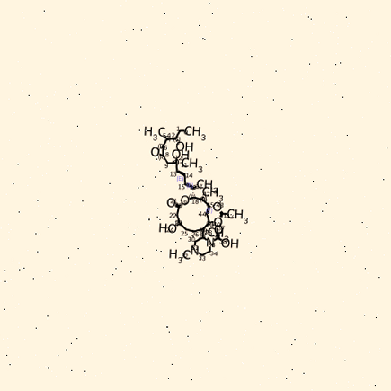 CC[C@H](O)[C@@H](C)[C@H]1O[C@@H]1C[C@@](C)(O)/C=C/C=C(\C)[C@H]1OC(=O)C[C@H](O)CC[C@](C)(C2CN(C)CCN2C(=O)O)[C@H](OC(C)=O)/C=C/[C@@H]1C